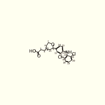 O=C(O)CCN1CCOC(c2ccc(Nc3c(Cl)cccc3Cl)cc2)C1